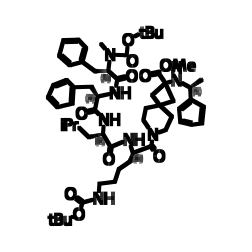 COC(=O)C1(N[C@@H](C)c2ccccc2)CC2(CCN(C(=O)[C@@H](CCCCNC(=O)OC(C)(C)C)NC(=O)[C@@H](CC(C)C)NC(=O)[C@@H](Cc3ccccc3)NC(=O)[C@@H](Cc3ccccc3)N(C)C(=O)OC(C)(C)C)CC2)C1